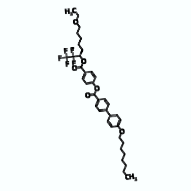 CCCCCCCCOc1ccc(-c2ccc(C(=O)Oc3ccc(C(=O)O[C@H](CCCCCOCC)C(F)(F)C(F)(F)F)cc3)cc2)cc1